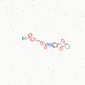 CCC(=O)OCCCOCC(=O)NCc1ccc(CC(=O)C2CCCCC2=O)cc1